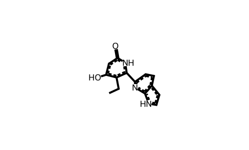 CCc1c(O)cc(=O)[nH]c1-c1ccc2cc[nH]c2n1